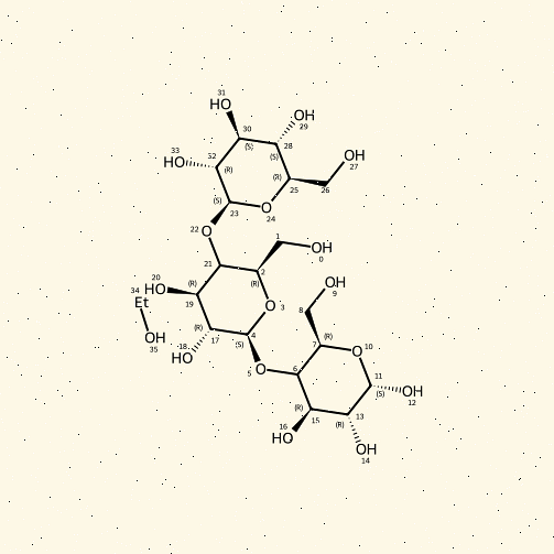 OC[C@H]1O[C@@H](OC2[C@@H](CO)O[C@H](O)[C@H](O)[C@H]2O)[C@H](O)[C@@H](O)C1O[C@@H]1O[C@H](CO)[C@@H](O)[C@H](O)[C@H]1O.[CH2]CO